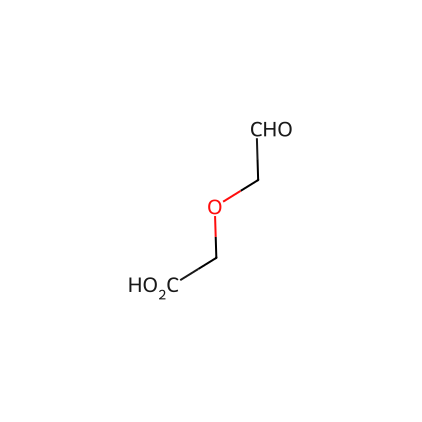 O=CCOCC(=O)O